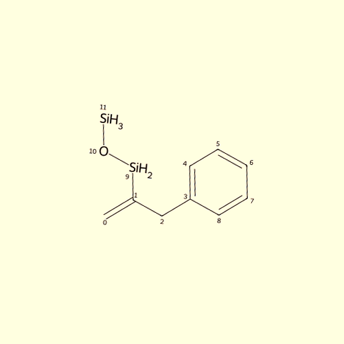 C=C(Cc1ccccc1)[SiH2]O[SiH3]